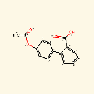 CC(=O)Oc1ccc(-c2ccccc2C(=O)O)cc1